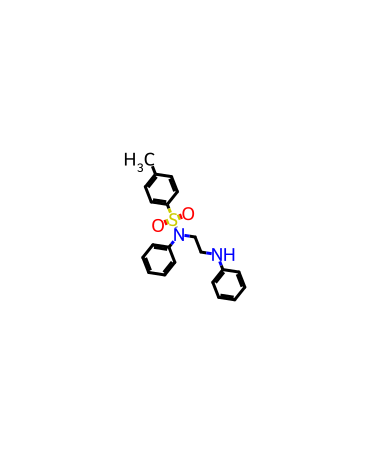 Cc1ccc(S(=O)(=O)N(CCNc2ccccc2)c2ccccc2)cc1